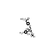 CCOC(Cc1ccc(OCCN(CCOCC(F)(F)CC)C(=O)Nc2c(C)cc(C)cc2C)cc1)C(=O)O